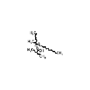 CCCC(CCC)C(=O)O.CCCCCCCCCCCCOC(=O)C(CC)CCCCCC